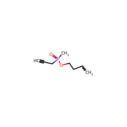 C#CCP(C)(=O)OCCC=C